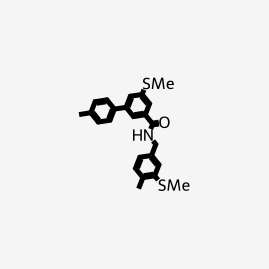 CSc1cc(C(=O)NCc2ccc(C)c(SC)c2)cc(-c2ccc(C)cc2)c1